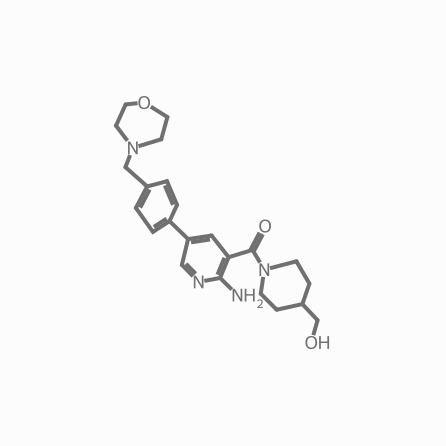 Nc1ncc(-c2ccc(CN3CCOCC3)cc2)cc1C(=O)N1CCC(CO)CC1